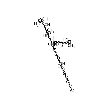 C=C1CCCC(C)=C1/C=C/C(C)=C/C=C/C(C)=C/C(=O)NCCCC[C@H](NC(=O)/C=C(C)/C=C/C=C(C)/C=C/C1=C(C)CCCC1=C)C(=O)NCCCOCCOCCOCCCNC(=O)CCOCCOCCOCCOCCOCCC(C)=O